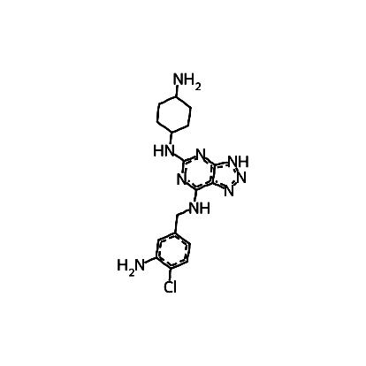 Nc1cc(CNc2nc(NC3CCC(N)CC3)nc3[nH]nnc23)ccc1Cl